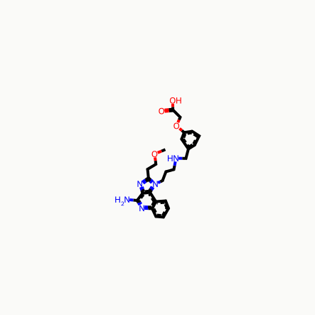 COCCc1nc2c(N)nc3ccccc3c2n1CCCNCc1cccc(OCC(=O)O)c1